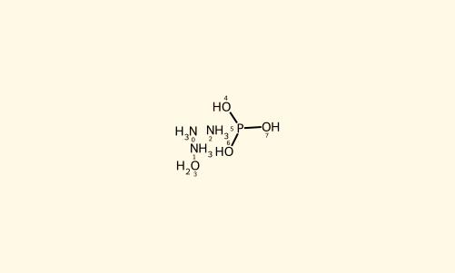 N.N.N.O.OP(O)O